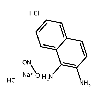 Cl.Cl.Nc1ccc2ccccc2c1N.O=N[O-].[Na+]